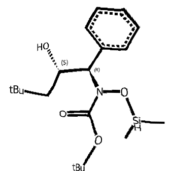 C[SiH](C)ON(C(=O)OC(C)(C)C)[C@H](c1ccccc1)[C@@H](O)CC(C)(C)C